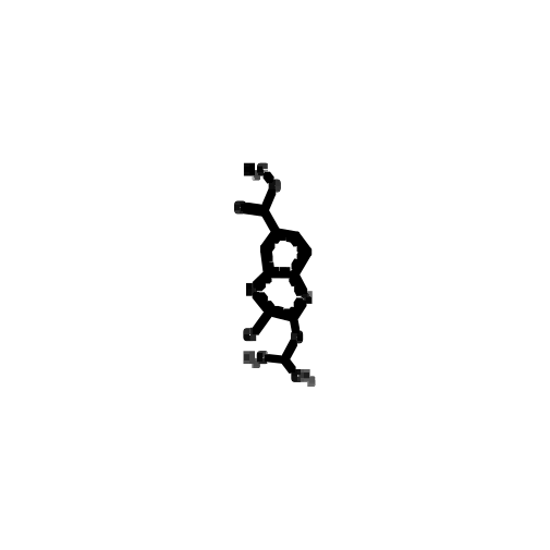 COC(=O)c1ccc2nc(OC(C)C)c(Cl)nc2c1